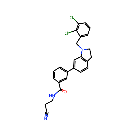 N#CCCNC(=O)c1cccc(-c2ccc3c(c2)N(Cc2cccc(Cl)c2Cl)CC3)c1